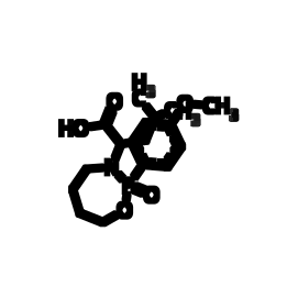 COc1ccc(P2(=O)OCCCCN2C(CC(C)C)C(=O)O)cc1